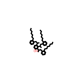 CCCCCCCc1ccccc1CC(C)c1ccc(O)c(C(C)Cc2ccccc2CCCCCCC)c1C(C)Cc1ccccc1CCCCCCC